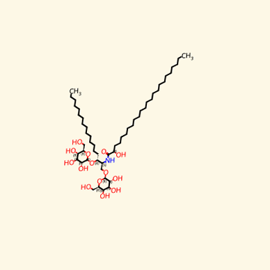 CCCCCCCCCCCCCCCCCCCCCC[C@@H](O)C(=O)N[C@@H](CO[C@@H]1O[C@H](CO)[C@H](O)[C@H](O)[C@H]1O)[C@@H](CCCCCCCCCCCCCCC)O[C@@H]1O[C@H](CO)[C@H](O)[C@H](O)[C@H]1O